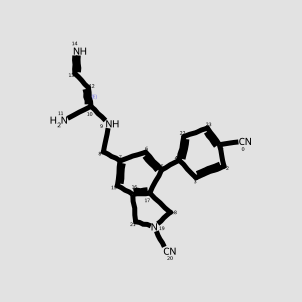 N#Cc1ccc(-c2cc(CN/C(N)=C/C=N)cc3c2CN(C#N)C3)cc1